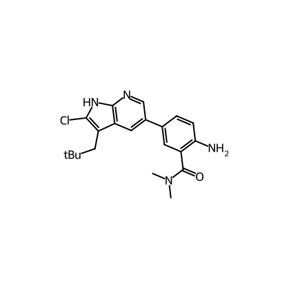 CN(C)C(=O)c1cc(-c2cnc3[nH]c(Cl)c(CC(C)(C)C)c3c2)ccc1N